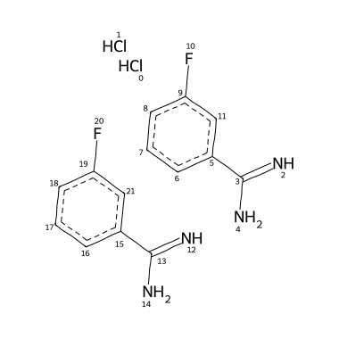 Cl.Cl.N=C(N)c1cccc(F)c1.N=C(N)c1cccc(F)c1